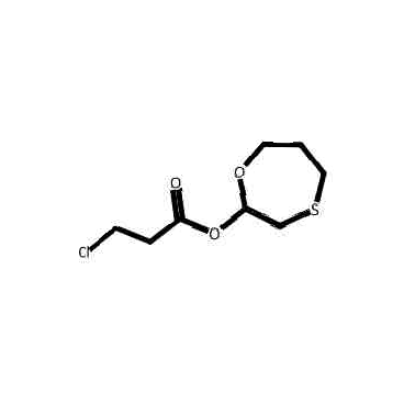 O=C(CCCl)OC1CSCCCO1